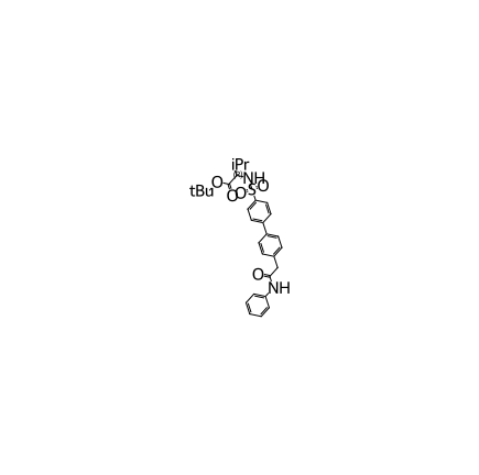 CC(C)[C@@H](NS(=O)(=O)c1ccc(-c2ccc(CC(=O)Nc3ccccc3)cc2)cc1)C(=O)OC(C)(C)C